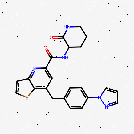 O=C(NC1CCCNC1=O)c1cc(Cc2ccc(-n3cccn3)cc2)c2sccc2n1